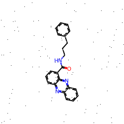 O=C(NCCCc1ccccc1)c1cccc2nc3ccccc3nc12